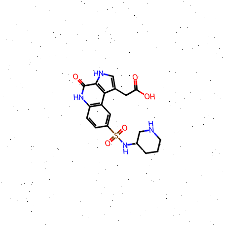 O=C(O)Cc1c[nH]c2c(=O)[nH]c3ccc(S(=O)(=O)NC4CCCNC4)cc3c12